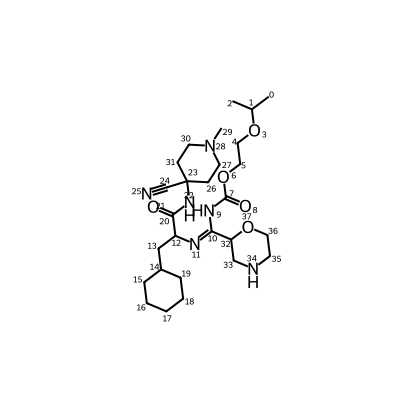 CC(C)OCCOC(=O)NC(=NC(CC1CCCCC1)C(=O)NC1(C#N)CCN(C)CC1)C1CNCCO1